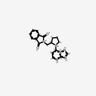 O=C1c2ccccc2C(=O)N1CC1CCCN1c1ccnc2ncnn12